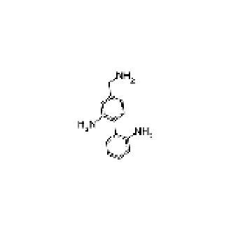 NCc1ccc(-c2ccccc2N)c(N)c1